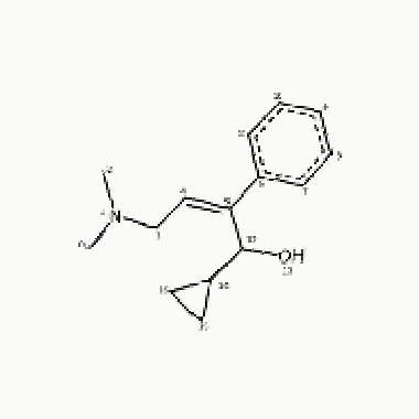 CN(C)CC=C(c1ccccc1)C(O)C1CC1